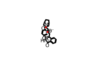 O=C(CCCc1n[nH]c(=O)c2ccccc12)N1C2CCC1CN(c1ccc(C(F)(F)F)c[n+]1[O-])C2